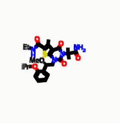 CCNC(=O)c1sc2c(c1C)c(=O)n(C(C)(C)C(N)=O)c(=O)n2C[C@H](OC)c1ccccc1OC(C)C